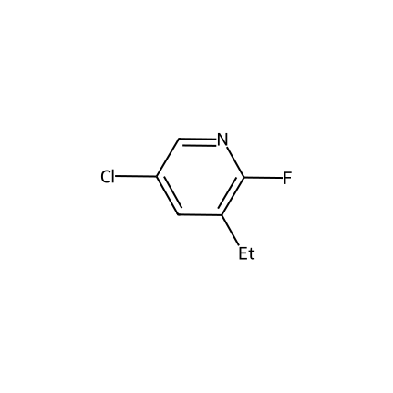 CCc1cc(Cl)cnc1F